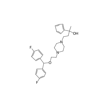 CC(O)(CCN1CCN(CCOC(c2ccc(F)cc2)c2ccc(F)cc2)CC1)c1ccccc1